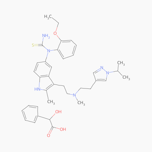 CCOc1ccccc1N(C(N)=S)c1ccc2[nH]c(C)c(CCN(C)CCc3cnn(C(C)C)c3)c2c1.O=C(O)C(O)c1ccccc1